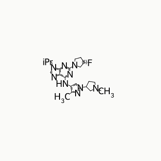 Cc1nn(C2CCN(C)C2)cc1Nc1nc(N2CC[C@H](F)C2)nc2c1ncn2C(C)C